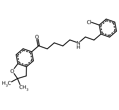 CC1(C)Cc2cc(C(=O)CCCCNCCc3ccccc3Cl)ccc2O1